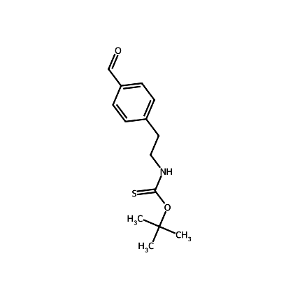 CC(C)(C)OC(=S)NCCc1ccc(C=O)cc1